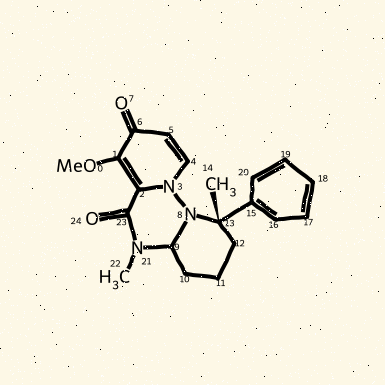 COc1c2n(ccc1=O)N1C(CCC[C@@]1(C)c1ccccc1)N(C)C2=O